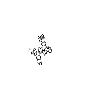 CN1CCc2cc(O)c(Nc3ncc(Cl)c(Nc4ccc(OS(=O)(=O)F)cc4OP(C)C)n3)cc2C1.P